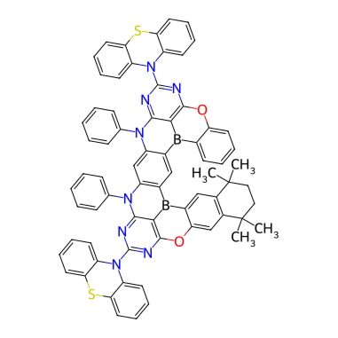 CC1(C)CCC(C)(C)c2cc3c(cc21)Oc1nc(N2c4ccccc4Sc4ccccc42)nc2c1B3c1cc3c(cc1N2c1ccccc1)N(c1ccccc1)c1nc(N2c4ccccc4Sc4ccccc42)nc2c1B3c1ccccc1O2